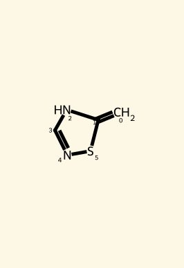 C=C1NC=NS1